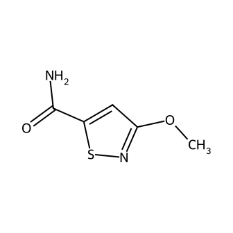 COc1cc(C(N)=O)sn1